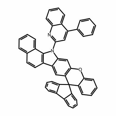 c1ccc(-c2cc(-n3c4cc5c(cc4c4ccc6ccccc6c43)C3(c4ccccc4O5)c4ccccc4-c4ccccc43)nc3ccccc23)cc1